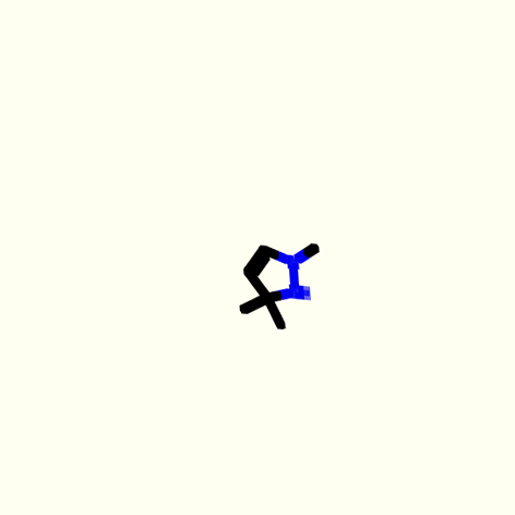 CN1C=CC(C)(C)N1